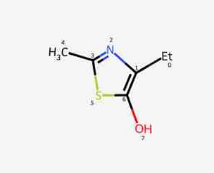 CCc1nc(C)sc1O